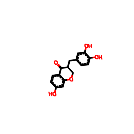 O=C1c2ccc(O)cc2OCC1Cc1ccc(O)c(O)c1